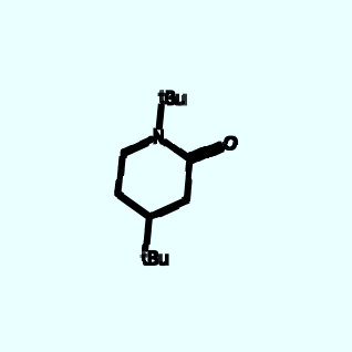 CC(C)(C)C1CCN(C(C)(C)C)C(=O)C1